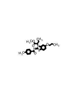 CCCOc1ccc2s/c(=N\C(=O)c3ccc(C)cc3)n(C(CC)C(=O)OC)c2c1